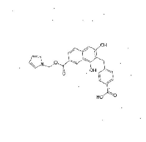 O=C(O)c1ccc(Cc2c(O)cc3ccc(C(=O)OCn4cccc4)cc3c2O)cc1